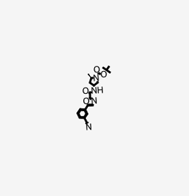 C[C@@H]1C[C@@H](NC(=O)c2ncc(-c3cccc(C#N)c3)o2)CN1C(=O)OC(C)(C)C